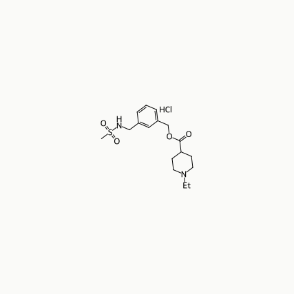 CCN1CCC(C(=O)OCc2cccc(CNS(C)(=O)=O)c2)CC1.Cl